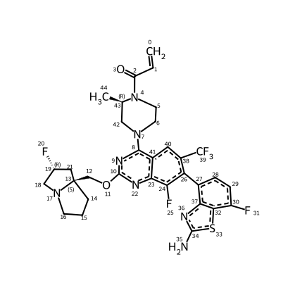 C=CC(=O)N1CCN(c2nc(OC[C@@]34CCCN3C[C@H](F)C4)nc3c(F)c(-c4ccc(F)c5sc(N)nc45)c(C(F)(F)F)cc23)C[C@H]1C